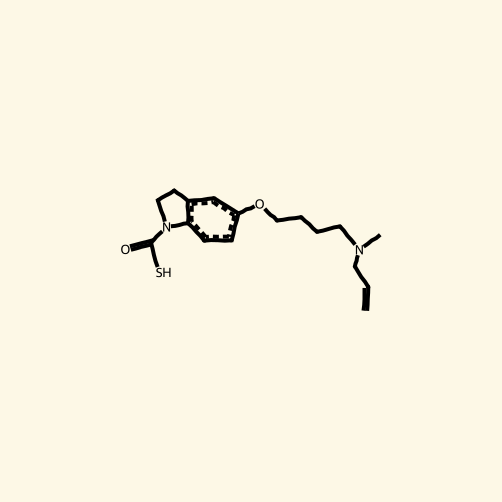 C=CCN(C)CCCCOc1ccc2c(c1)CCN2C(=O)S